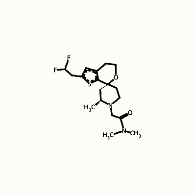 C[C@H]1C[C@@]2(CCN1CC(=O)N(C)C)OCCc1cc(CC(F)F)sc12